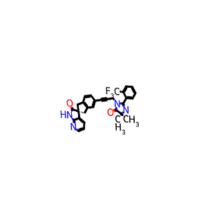 CC1(C)N=C(c2ccccc2C(F)(F)F)N(CC#Cc2ccc3c(c2)C[C@@]2(C3)C(=O)Nc3ncccc32)C1=O